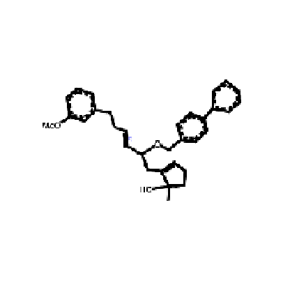 COc1cccc(CC/C=C/C(CC2=CCCC2(C)O)OCc2ccc(-c3ccccc3)cc2)c1